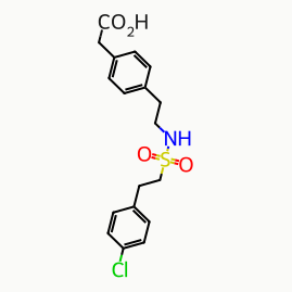 O=C(O)Cc1ccc(CCNS(=O)(=O)CCc2ccc(Cl)cc2)cc1